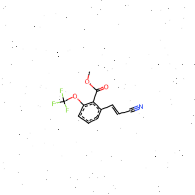 COC(=O)c1c(C=CC#N)cccc1OC(F)(F)F